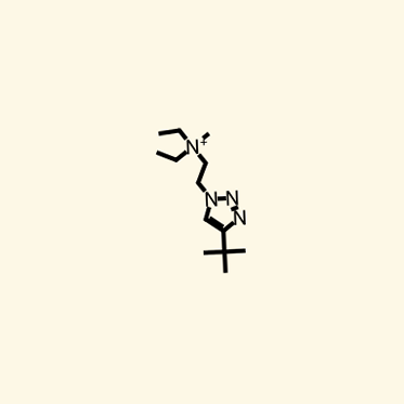 CC[N+](C)(CC)CCn1cc(C(C)(C)C)nn1